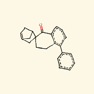 O=C1c2cccc(-c3ccccc3)c2CCC12CC1=CCC2C1